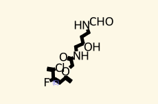 C=C(/C=C(/F)C(=C)Cl)OCC(=O)NCC(O)CCNC=O